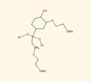 CCOC(C[SiH2]OCCOC)(OCC)C1CCC(O)C(OCCOC)C1